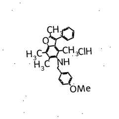 COc1ccc(CNc2c(C)c(C)c3oc(C)c(-c4ccccc4)c3c2C)cc1.Cl